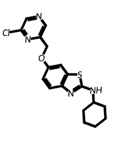 Clc1cncc(COc2ccc3nc(NC4CCCCC4)sc3c2)n1